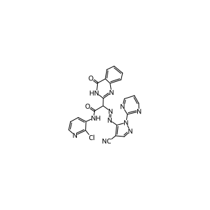 N#Cc1cnn(-c2ncccn2)c1N=NC(C(=O)Nc1cccnc1Cl)c1nc2ccccc2c(=O)[nH]1